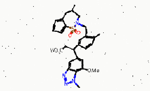 COc1cc([C@@H](CC(=O)O)c2ccc(C)c(CN3C[C@H](C)Cc4ccccc4S3(=O)=O)c2)cc2nnn(C)c12